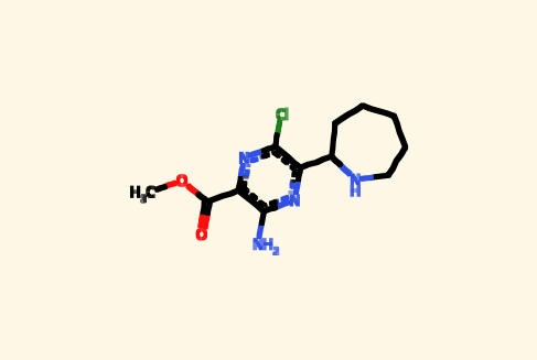 COC(=O)c1nc(Cl)c(C2CCCCCN2)nc1N